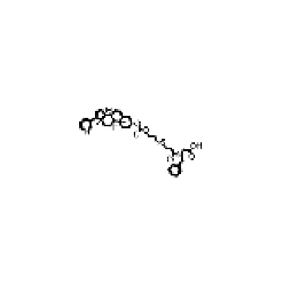 C[C@]12CC[C@H](OC(=O)OCCSSCCC(=O)N(CC(=O)O)Cc3ccccc3)CC1=CC[C@H]1C3CC=C(c4cccnc4)[C@@]3(C)CC[C@@H]12